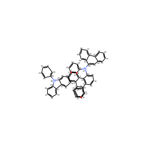 c1ccc(-c2ccccc2-c2c(-c3ccccc3)cccc2N(c2cccc(-c3ccc4c5ccccc5n(-c5ccccc5)c4c3)c2)c2cc3ccccc3c3ccccc23)cc1